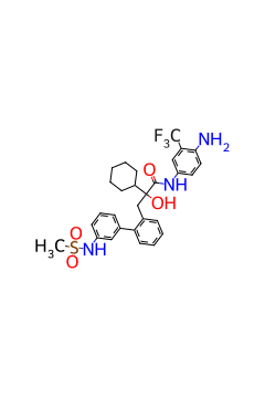 CS(=O)(=O)Nc1cccc(-c2ccccc2CC(O)(C(=O)Nc2ccc(N)c(C(F)(F)F)c2)C2CCCCC2)c1